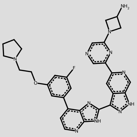 NC1CN(c2cncc(-c3cc4c(-c5nc6c(-c7cc(F)cc(OCCN8CCCC8)c7)ccnc6[nH]5)n[nH]c4cn3)n2)C1